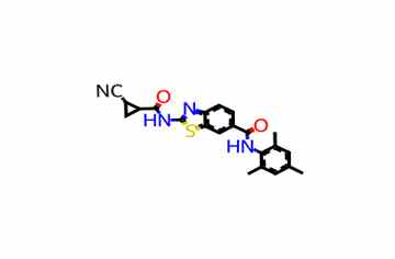 Cc1cc(C)c(NC(=O)c2ccc3nc(NC(=O)C4CC4C#N)sc3c2)c(C)c1